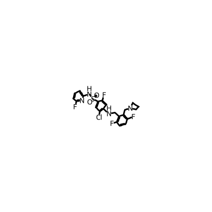 O=S(=O)(Nc1cccc(F)n1)c1cc(Cl)c(NCc2c(F)ccc(F)c2CN2CCC2)cc1F